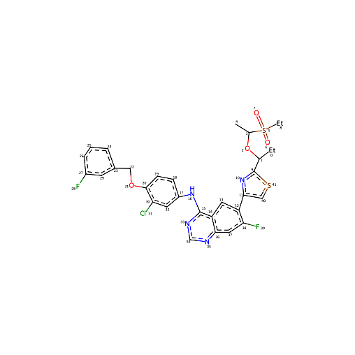 CCC(OC(C)S(=O)(=O)CC)c1nc(-c2cc3c(Nc4ccc(OCc5cccc(F)c5)c(Cl)c4)ncnc3cc2F)cs1